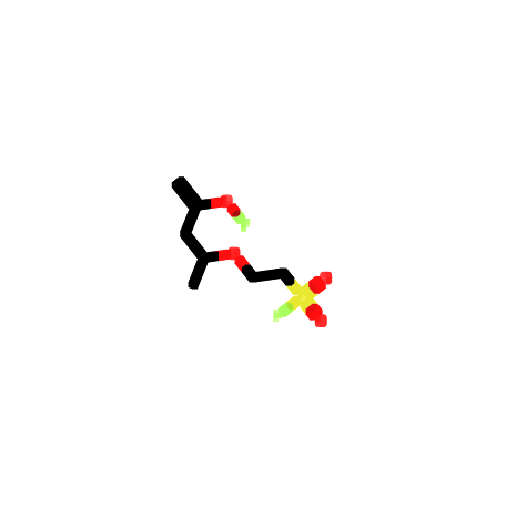 C=C(CC(C)OCCS(=O)(=O)F)OF